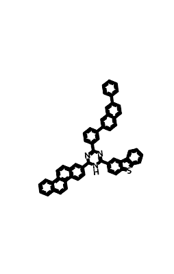 c1ccc(-c2ccc3ccc(-c4cccc(C5=NC(c6ccc7c(ccc8c9ccccc9ccc78)c6)NC(c6ccc7sc8ccccc8c7c6)=N5)c4)cc3c2)cc1